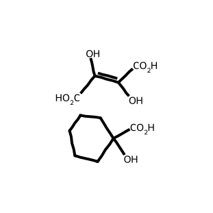 O=C(O)C(O)=C(O)C(=O)O.O=C(O)C1(O)CCCCC1